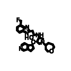 O=C(Cc1nc2c(CF)cccc2[nH]1)NC1CN(C2CCCOCC2)C[C@@H]1OC1CCc2cnccc21